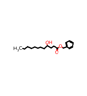 CCCCCCCC[C@@H](O)CCC(=O)OCc1ccccc1